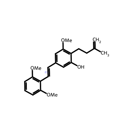 C=C(C)CCc1c(O)cc(/C=C/c2c(OC)cccc2OC)cc1OC